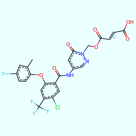 Cc1cc(F)ccc1Oc1cc(C(F)(F)F)c(Cl)cc1C(=O)Nc1cnn(COC(=O)/C=C/C(=O)O)c(=O)c1